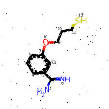 N=C(N)c1cccc(OCCCS)c1